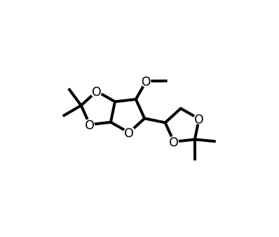 COC1C(C2COC(C)(C)O2)OC2OC(C)(C)OC21